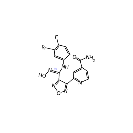 NC(=O)c1ccnc(-c2nonc2/C(=N\O)Nc2ccc(F)c(Br)c2)c1